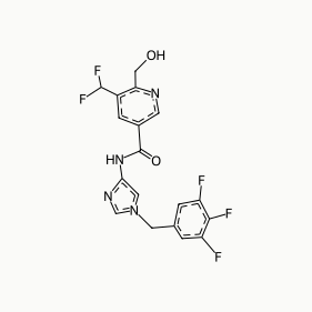 O=C(Nc1cn(Cc2cc(F)c(F)c(F)c2)cn1)c1cnc(CO)c(C(F)F)c1